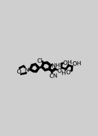 N#Cc1c(O[C@@H]2CO[C@H]3[C@@H]2OC[C@H]3O)[nH]c2cc(Cl)c(-c3ccc(N4CCOCC4)cc3)cc12